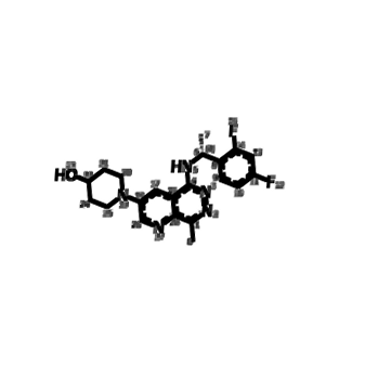 Cc1nnc(N[C@H](C)c2ccc(F)cc2F)c2cc(N3CCC(O)CC3)cnc12